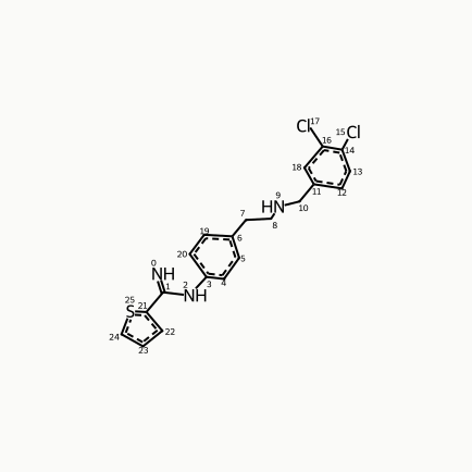 N=C(Nc1ccc(CCNCc2ccc(Cl)c(Cl)c2)cc1)c1cccs1